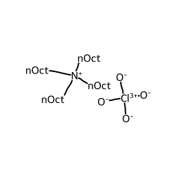 CCCCCCCC[N+](CCCCCCCC)(CCCCCCCC)CCCCCCCC.[O-][Cl+3]([O-])([O-])[O-]